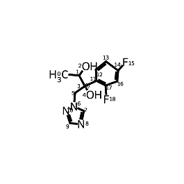 CC(O)[C@@](O)(Cn1cncn1)c1ccc(F)cc1F